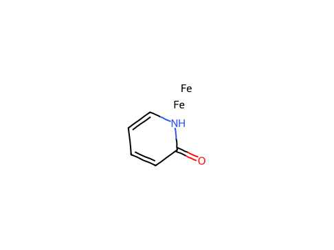 O=c1cccc[nH]1.[Fe].[Fe]